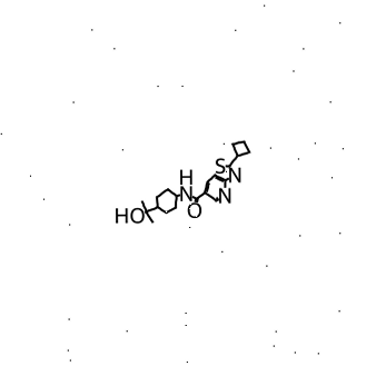 CC(C)(O)C1CCC(NC(=O)c2cnc3nc(C4CCC4)sc3c2)CC1